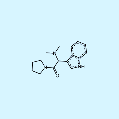 CN(C)C(C(=O)N1CCCC1)c1c[nH]c2ccccc12